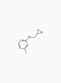 Cc1[c]ccc(OCC2CO2)c1